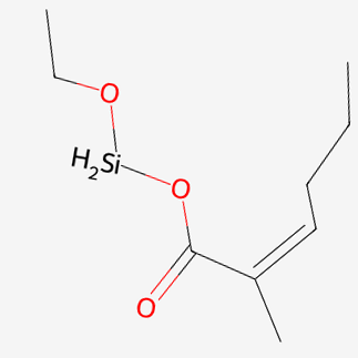 CCCC=C(C)C(=O)O[SiH2]OCC